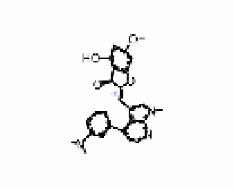 CN(C)c1cccc(-c2ccnc3c2c(/C=C2\Oc4cc(O)cc(O)c4C2=O)cn3C)c1